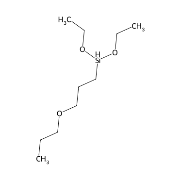 CCCOCCC[SiH](OCC)OCC